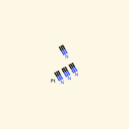 C#N.C#N.C#N.C#N.[Pt]